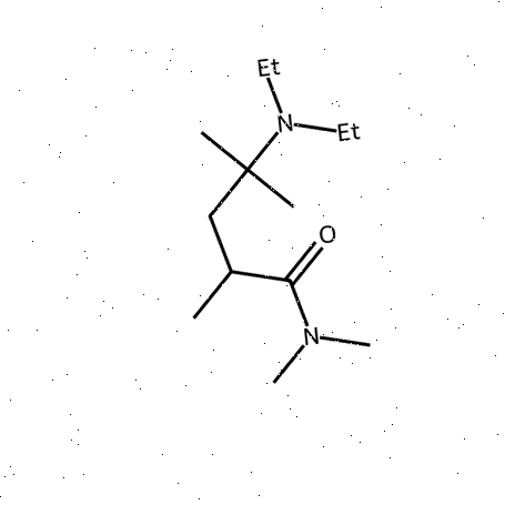 CCN(CC)C(C)(C)CC(C)C(=O)N(C)C